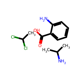 CC(C)N.CC(Cl)Cl.Nc1ccccc1C(=O)O